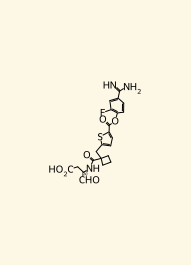 N=C(N)c1ccc(OC(=O)c2ccc(CC3(C(=O)N[C@H](C=O)CC(=O)O)CCC3)s2)c(F)c1